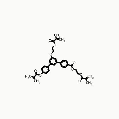 C=C(C)C(=O)OCCOC(=O)c1ccc(-c2cc(OCCOC(=O)C(=C)C)cc(-c3ccc(OC(=O)C(=C)C)cc3)c2)cc1